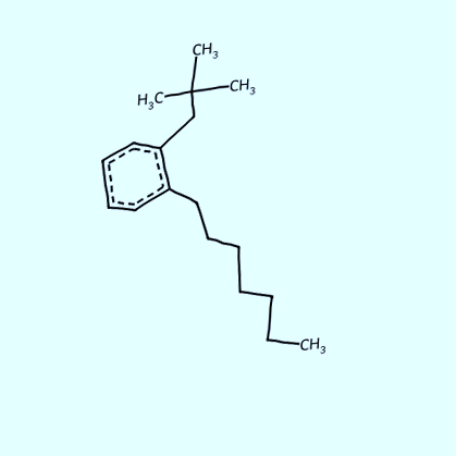 CCCCCCCc1ccccc1CC(C)(C)C